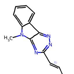 CCOC(=O)/C=C/c1nnc2c3ccccc3n(C)c2n1